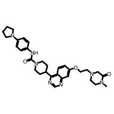 CN1CCN(CCOc2ccc3c(C4CCN(C(=O)Nc5ccc(N6CCCC6)cc5)CC4)ncnc3c2)CC1=O